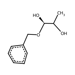 CC(O)[C@H](O)OCc1ccccc1